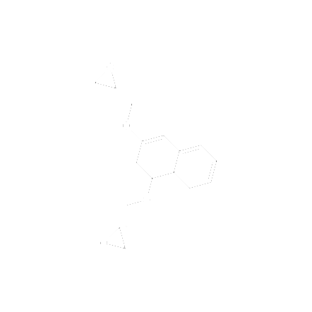 c1ccc2c(OC[C@@H]3CO3)cc(OCC3CO3)cc2c1